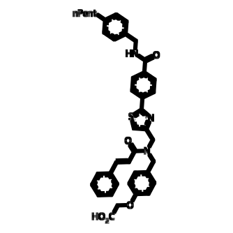 CCCCCc1ccc(CNC(=O)c2ccc(-c3nc(CN(Cc4ccc(OCC(=O)O)cc4)C(=O)/C=C/c4ccccc4)cs3)cc2)cc1